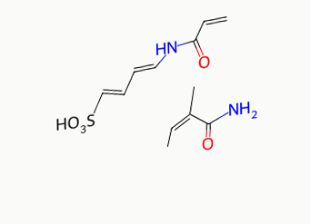 C=CC(=O)NC=CC=CS(=O)(=O)O.CC=C(C)C(N)=O